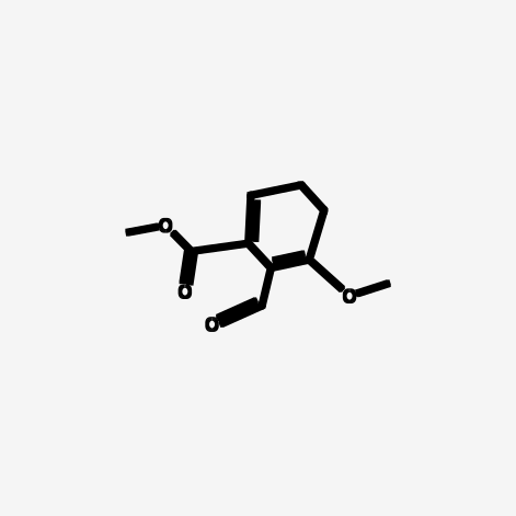 COC(=O)C1=CCCC(OC)=C1C=O